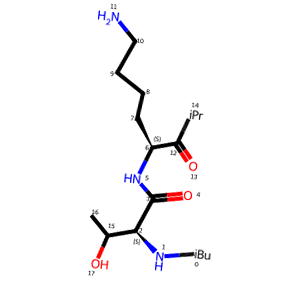 CCC(C)N[C@H](C(=O)N[C@@H](CCCCN)C(=O)C(C)C)C(C)O